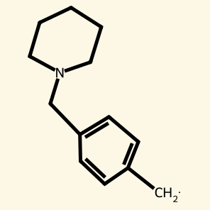 [CH2]c1ccc(CN2CCCCC2)cc1